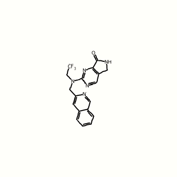 O=C1NCc2cnc(N(Cc3cc4ccccc4cn3)CC(F)(F)F)nc21